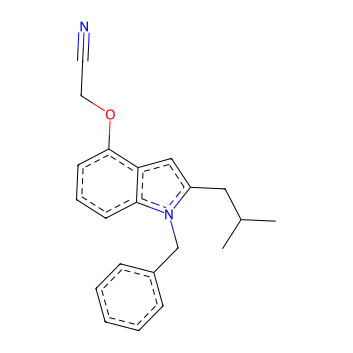 CC(C)Cc1cc2c(OCC#N)cccc2n1Cc1ccccc1